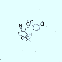 CC(C)(C)[S+]([O-])N[C@H](CCC1(c2cccc(Cl)c2)OCCO1)C1(C#N)CCC1